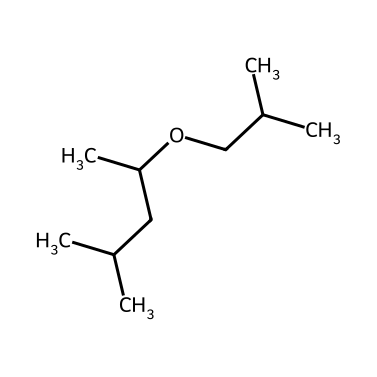 CC(C)COC(C)CC(C)C